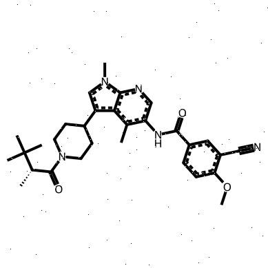 COc1ccc(C(=O)Nc2cnc3c(c(C4CCN(C(=O)[C@H](C)C(C)(C)C)CC4)cn3C)c2C)cc1C#N